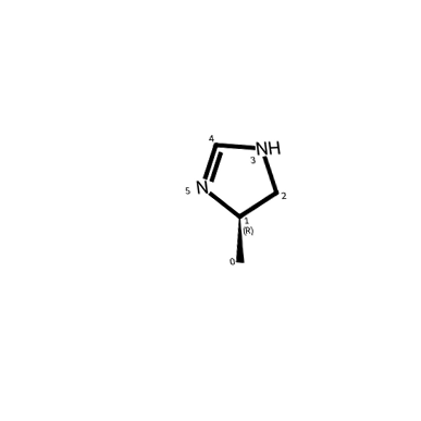 C[C@@H]1CNC=N1